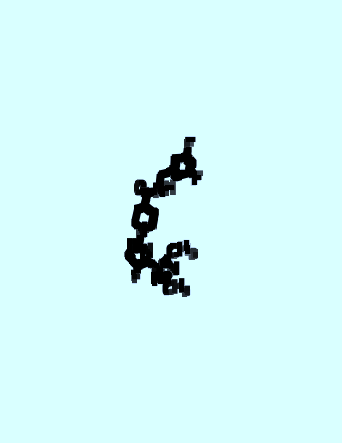 Cc1nc(C)n(-c2nc(N3CCC(C(=O)NCc4cc(F)cc(F)c4)CC3)ncc2F)n1